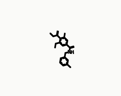 C=C(NCc1cccc(C)c1)c1cc(C)c(C(=C)CC)c(CC)c1